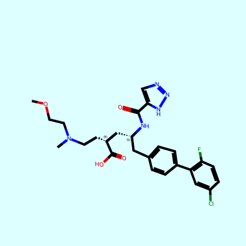 COCCN(C)CC[C@H](C[C@@H](Cc1ccc(-c2cc(Cl)ccc2F)cc1)NC(=O)c1cnn[nH]1)C(=O)O